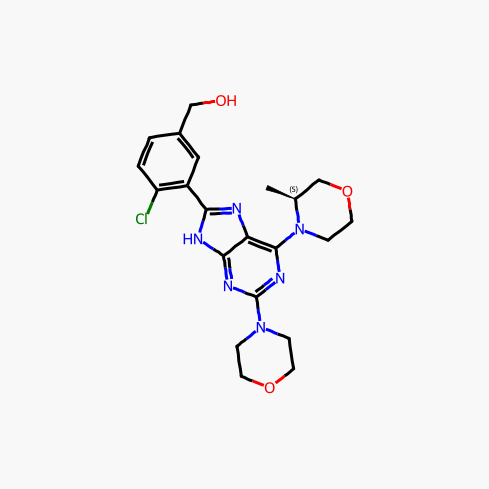 C[C@H]1COCCN1c1nc(N2CCOCC2)nc2[nH]c(-c3cc(CO)ccc3Cl)nc12